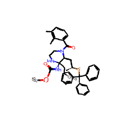 COCCC1(NC(=O)OC(C)(C)C)NCCN(C(=O)c2cccc(C)c2C)C1C[C@H](C)SC(c1ccccc1)(c1ccccc1)c1ccccc1